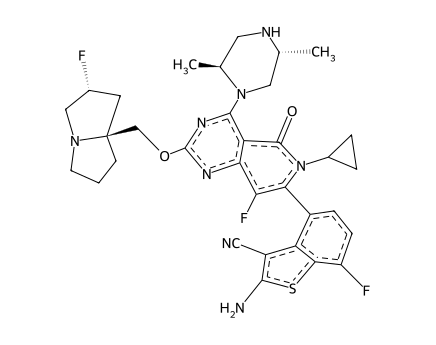 C[C@@H]1CN(c2nc(OC[C@@]34CCCN3C[C@H](F)C4)nc3c(F)c(-c4ccc(F)c5sc(N)c(C#N)c45)n(C4CC4)c(=O)c23)[C@@H](C)CN1